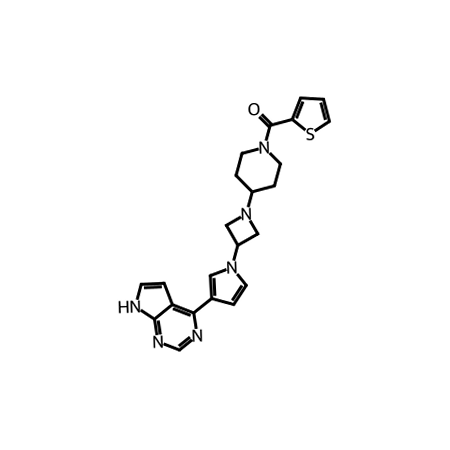 O=C(c1cccs1)N1CCC(N2CC(n3ccc(-c4ncnc5[nH]ccc45)c3)C2)CC1